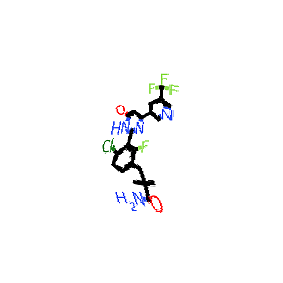 CC(C)(Cc1ccc(Cl)c(-c2nc(-c3cncc(C(F)(F)F)c3)cc(=O)[nH]2)c1F)C(N)=O